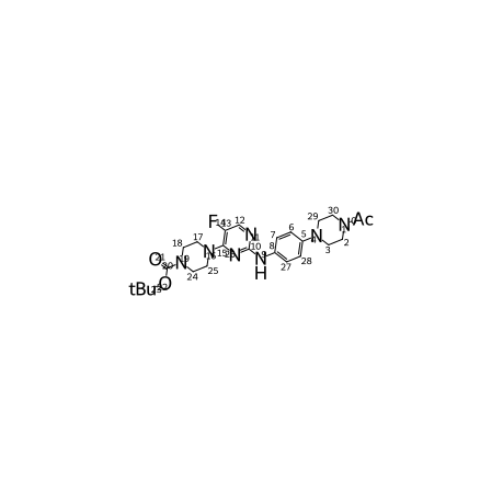 CC(=O)N1CCN(c2ccc(Nc3ncc(F)c(N4CCN(C(=O)OC(C)(C)C)CC4)n3)cc2)CC1